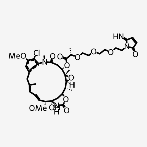 COc1cc2cc(c1Cl)N(C)C(=O)C[C@H](OC(=O)[C@H](C)OCCOCCOCCN1C(=N)C=CC1=O)[C@]1(C)O[C@H]1[C@H](C)C1C[C@@](O)(NC(=O)O1)[C@H](OC)/C=C/C=C(\C)C2